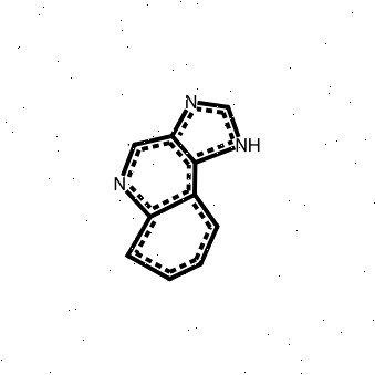 [c]1nc2ccccc2c2[nH]cnc12